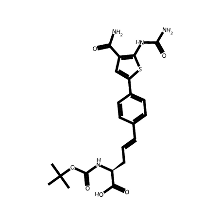 CC(C)(C)OC(=O)N[C@@H](C/C=C/c1ccc(-c2cc(C(N)=O)c(NC(N)=O)s2)cc1)C(=O)O